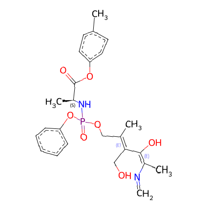 C=N/C(C)=C(O)\C(CO)=C(/C)COP(=O)(N[C@@H](C)C(=O)Oc1ccc(C)cc1)Oc1ccccc1